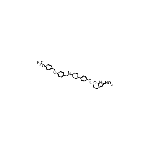 CN(Cc1ccc(OCc2ccc(OC(F)(F)F)cc2)cc1)C1CCN(c2ccc(OC[C@H]3CCn4cc([N+](=O)[O-])nc4O3)cc2)CC1